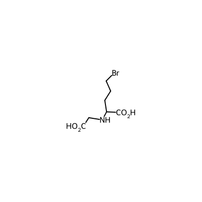 O=C(O)CNC(CCCBr)C(=O)O